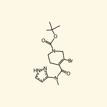 CN(C(=O)C1=C(Br)CN(C(=O)OC(C)(C)C)CC1)c1cc[nH]n1